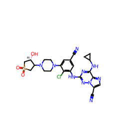 N#Cc1cc(Nc2nc(NC3CC3)c3ncc(C#N)n3n2)c(Cl)c(N2CCN(C3CS(=O)(=O)C[C@@H]3O)CC2)c1